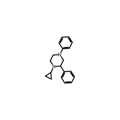 c1ccc(C2CN(c3ccccc3)CCN2C2CC2)cc1